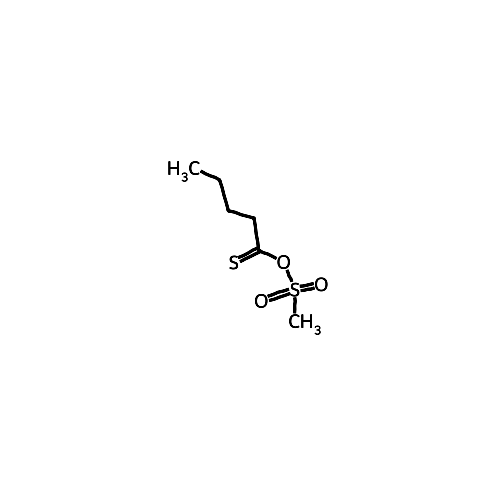 CCCCC(=S)OS(C)(=O)=O